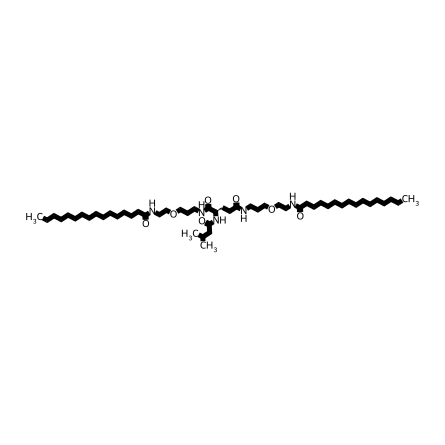 CCCCCCCCCCCCCCCC(=O)NCCOCCCNC(=O)CC[C@H](NC(=O)CC(C)C)C(=O)NCCCOCCNC(=O)CCCCCCCCCCCCCCC